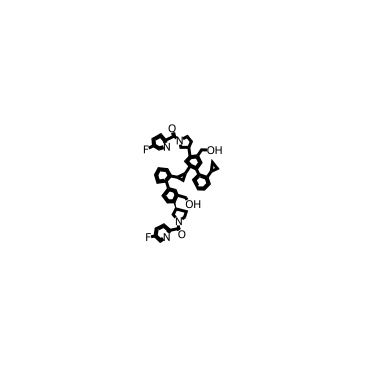 O=C(c1ccc(F)cn1)N1CCC(c2cc(C3CC3c3ccccc3-c3ccc([C@H]4CCN(C(=O)c5ccc(F)cn5)C4)c(CO)c3)c(-c3ccccc3C3CC3)cc2CO)C1